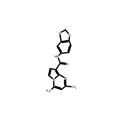 Cc1cc(C)n2ccc(C(=O)Nc3ccc4c(c3)OCO4)c2n1